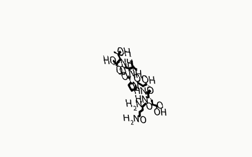 CC(C)[C@H](NC(=O)[C@@H]1CCCN1C(=O)[C@@H](NC(=O)[C@H](CCC(=O)O)NC(=O)[C@@H](N)CCC(N)=O)[C@@H](C)O)C(=O)N[C@H](C(=O)O)[C@@H](C)O